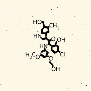 COc1cc(NC(C(=O)c2c[nH]c3cc(CO)c(C)cc23)c2ccc(Cl)cc2CO)cc(OCCO)c1